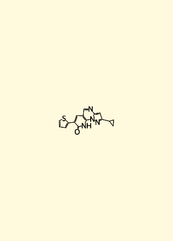 O=c1[nH]c2c(cnc3cc(C4CC4)nn32)cc1-c1cccs1